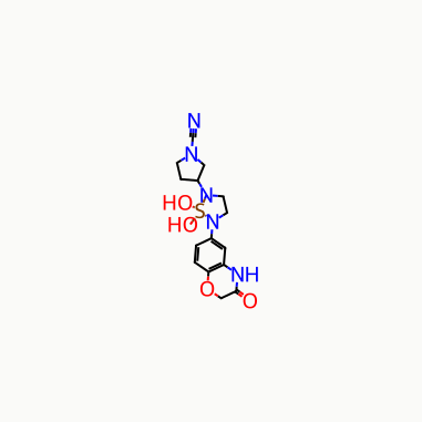 N#CN1CCC(N2CCN(c3ccc4c(c3)NC(=O)CO4)S2(O)O)C1